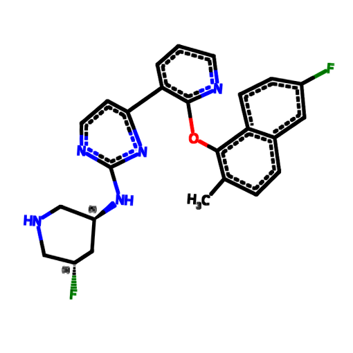 Cc1ccc2cc(F)ccc2c1Oc1ncccc1-c1ccnc(N[C@@H]2CNC[C@@H](F)C2)n1